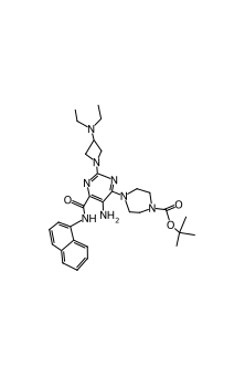 CCN(CC)C1CN(c2nc(C(=O)Nc3cccc4ccccc34)c(N)c(N3CCN(C(=O)OC(C)(C)C)CC3)n2)C1